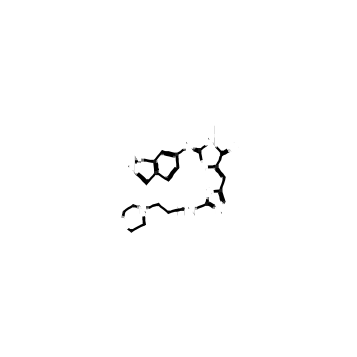 O=C1NC(=Nc2ccc3cn[nH]c3c2)SC1=Cc1cnc(NCCCN2CCOCC2)s1